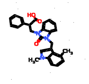 Cc1cccc2c1c(Cn1c(=O)n(CC(C(=O)O)c3ccccc3)c3ccccc31)cn2C